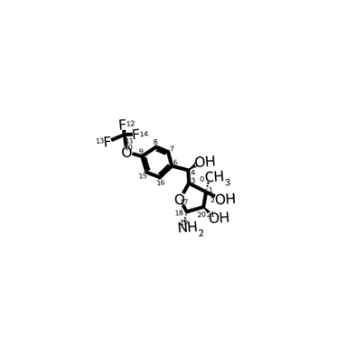 C[C@@]1(O)C([C@H](O)c2ccc(OC(F)(F)F)cc2)O[C@@H](N)[C@@H]1O